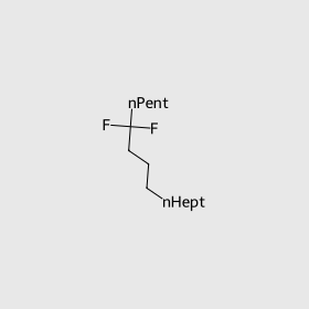 [CH2]CCCCC(F)(F)CCCCCCCCCC